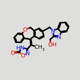 C/C(=C1\c2ccc(Cn3c(CO)nc4ccccc43)cc2COc2ccccc21)c1noc(=O)[nH]1